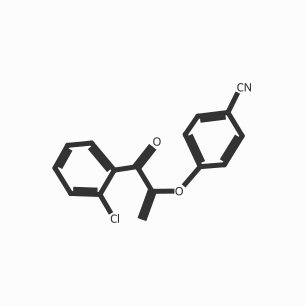 C=C(Oc1ccc(C#N)cc1)C(=O)c1ccccc1Cl